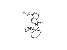 Cc1cccc2c(=O)n(CC3(N=O)CCCCC3)ccc12